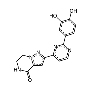 O=C1NCCn2nc(-c3ccnc(-c4ccc(O)c(O)c4)n3)cc21